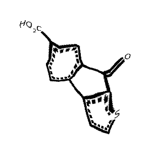 O=C(O)c1ccc2c(c1)C(=O)c1sccc1-2